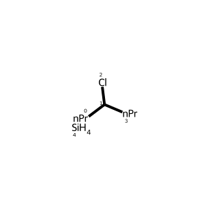 CCCC(Cl)CCC.[SiH4]